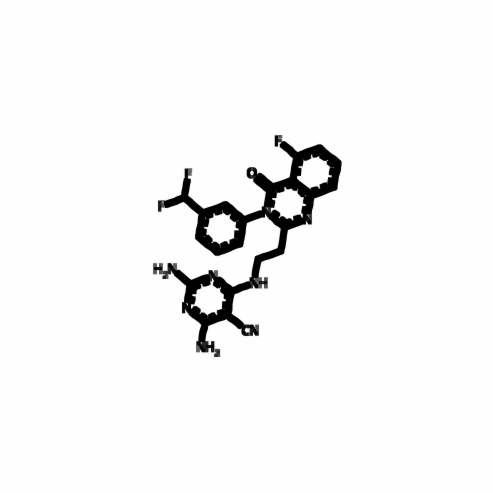 N#Cc1c(N)nc(N)nc1NCCc1nc2cccc(F)c2c(=O)n1-c1cccc(C(F)F)c1